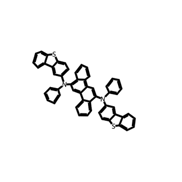 c1ccc(N(c2ccc3sc4ccccc4c3c2)c2cc3c4ccccc4c(N(c4ccccc4)c4ccc5sc6ccccc6c5c4)cc3c3ccccc23)cc1